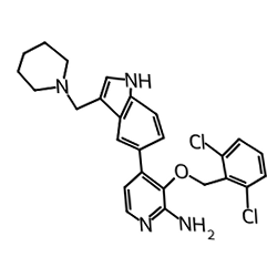 Nc1nccc(-c2ccc3[nH]cc(CN4CCCCC4)c3c2)c1OCc1c(Cl)cccc1Cl